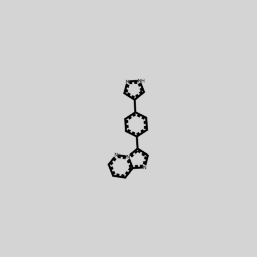 c1cnn2c(-c3ccc(-c4cn[nH]c4)cc3)cnc2c1